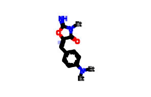 CCN1C(=N)O/C(=C/c2ccc(N(CC)CC)cc2)C1=O